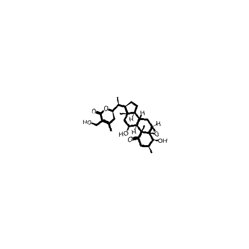 CC1=C(CO)C(=O)O[C@@H]([C@@H](C)[C@H]2CC[C@H]3[C@@H]4C[C@H]5O[C@]56[C@@H](O)[C@@H](C)CC(=O)[C@]6(C)[C@H]4[C@@H](O)C[C@]23C)C1